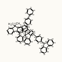 CC1(C)c2ccccc2-c2ccc(N(c3ccc(-c4ccccc4)cc3)c3ccc(-c4ccc(-n5c6ccccc6c6ccccc65)cc4)c4c3C3(c5ccccc5Oc5ccccc53)c3ccccc3-4)cc21